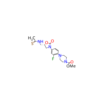 COC(=O)N1CCN(c2ccc(N3C[C@H](CNC(C)=S)OC3=O)cc2F)CC1